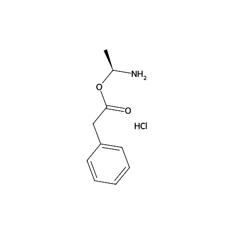 C[C@@H](N)OC(=O)Cc1ccccc1.Cl